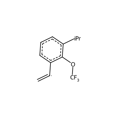 C=[C]c1cccc(C(C)C)c1OC(F)(F)F